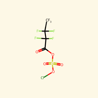 O=C(OS(=O)(=O)OCl)C(F)(F)C(F)(F)C(F)(F)F